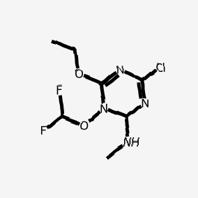 CCOC1=NC(Cl)=NC(NC)N1OC(F)F